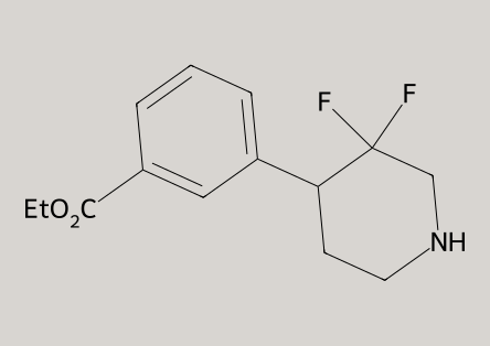 CCOC(=O)c1cccc(C2CCNCC2(F)F)c1